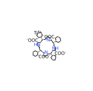 O=C([O-])c1ccccc1-c1c2nc(c(-c3ccccc3C(=O)[O-])c3ccc([nH]3)c(-c3ccccc3C(=O)[O-])c3nc(c(-c4ccccc4C(=O)[O-])c4ccc1[nH]4)C=C3)C=C2.[Ti+4]